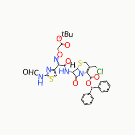 CC(C)(C)OC(=O)CO/N=C(\C(=O)NC1C(=O)N2C(C(=O)OC(c3ccccc3)c3ccccc3)=C(CCl)CS[C@H]12)c1csc(NC=O)n1